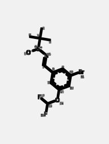 CC(C)(C)[S+]([O-])/N=C/c1cc(Br)cc(OC(F)F)c1